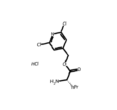 CCC[C@H](N)C(=O)OCc1cc(Cl)nc(Cl)c1.Cl